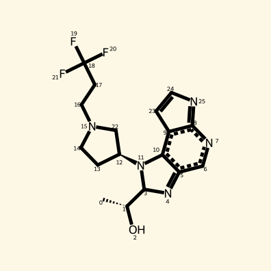 C[C@@H](O)C1N=c2cnc3c(c2N1[C@H]1CCN(CCC(F)(F)F)C1)C=CN=3